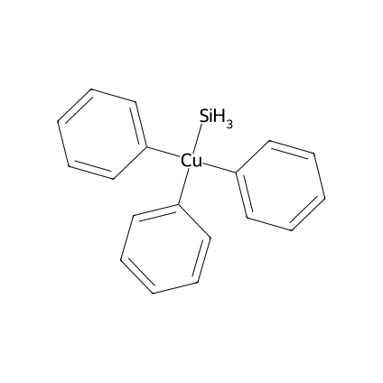 [SiH3][Cu]([c]1ccccc1)([c]1ccccc1)[c]1ccccc1